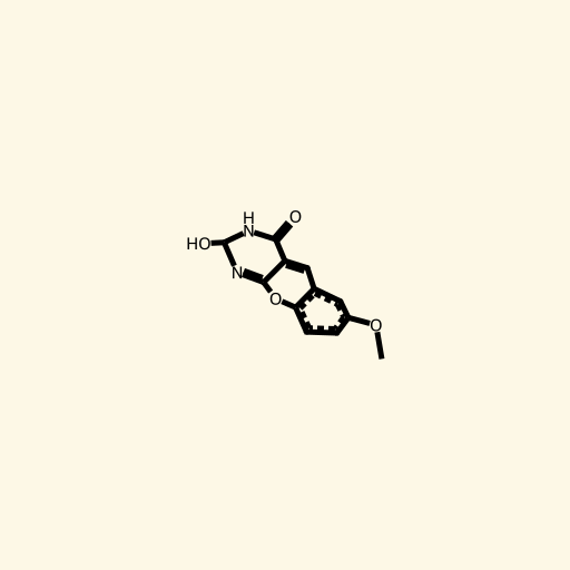 COc1ccc2c(c1)C=C1C(=O)NC(O)N=C1O2